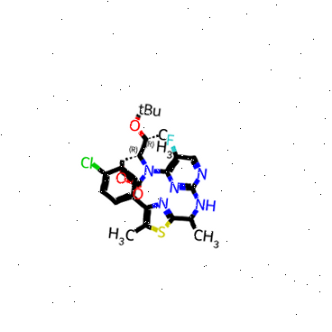 Cc1sc(C(C)Nc2ncc(F)c(N3C(=O)OC[C@@H]3[C@@H](C)OC(C)(C)C)n2)nc1-c1ccc(Cl)cc1